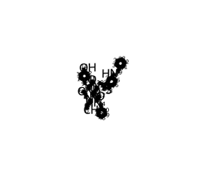 C=CCN1CC(=O)N2[C@@H](Cc3ccc(O)cc3)C(=O)N(Cc3csc4ccc(NCc5ccccc5)cc34)C[C@@H]2N1C(=O)NCc1ccccc1